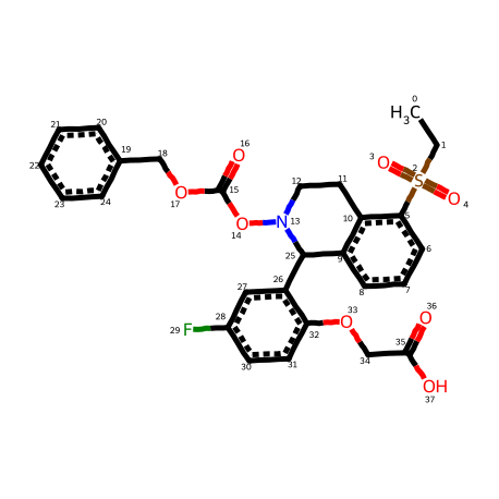 CCS(=O)(=O)c1cccc2c1CCN(OC(=O)OCc1ccccc1)C2c1cc(F)ccc1OCC(=O)O